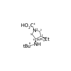 CC[C@@H]1CN(C(=O)O)C[C@@H]1NC(C)(C)C